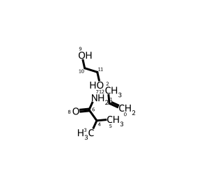 C=CC.CC(C)C(N)=O.OCCO